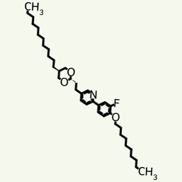 CCCCCCCCCCCC[C@H]1CO[C@H](CCc2ccc(-c3ccc(OCCCCCCCCCC)c(F)c3)nc2)OC1